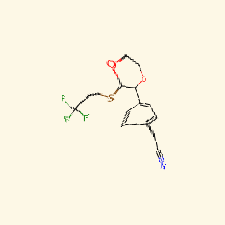 N#Cc1ccc(C2OCCOC2SCC(F)(F)F)cc1